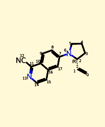 C=C[C@H]1CCCN1c1ccc2c(C#N)nccc2c1